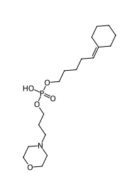 O=P(O)(OCCCCC=C1CCCCC1)OCCCN1CCOCC1